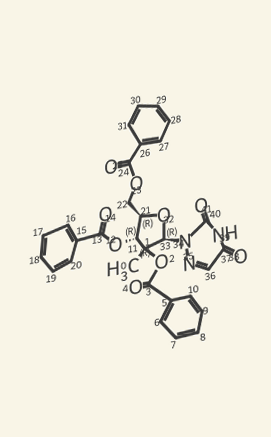 C[C@@]1(OC(=O)c2ccccc2)[C@H](OC(=O)c2ccccc2)[C@@H](COC(=O)c2ccccc2)O[C@H]1n1ncc(=O)[nH]c1=O